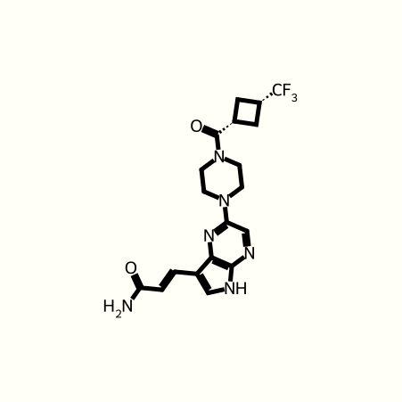 NC(=O)/C=C/c1c[nH]c2ncc(N3CCN(C(=O)[C@H]4C[C@@H](C(F)(F)F)C4)CC3)nc12